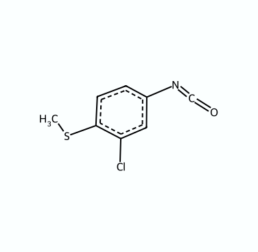 CSc1ccc(N=C=O)cc1Cl